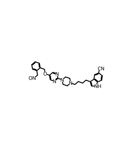 N#Cc1ccc2[nH]cc(CCCCN3CCN(c4ncc(OCc5ccccc5CN=O)cn4)CC3)c2c1